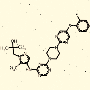 Cc1c(Nc2ncnc(N3CCN(c4ncc(Sc5ccccc5F)cn4)CC3)n2)cnn1CC(C)(C)O